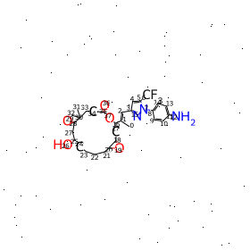 C/C(=C\c1cc(C(F)(F)F)n(-c2ccc(N)cc2)n1)C1CC2OC2CCCCC(O)CC(=O)C(C)(C)CCC(=O)O1